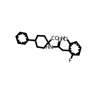 O=C(Cc1c(F)cccc1Cl)NC1(C(=O)O)CCC(c2ccccc2)CC1